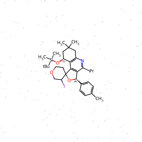 Cc1ccc([C@H]2OC3(CCOCC3I)c3c2c(C(C)C)nc2c3[C@@H](O[Si](C)(C)C(C)(C)C)CC(C)(C)C2)cc1